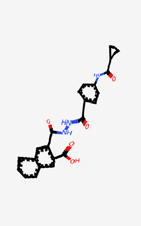 O=C(NNC(=O)c1cc2ccccc2cc1C(=O)O)c1ccc(NC(=O)C2CC2)cc1